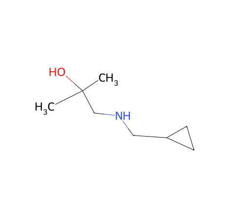 CC(C)(O)CNCC1CC1